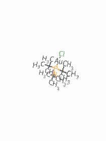 CC(C)(C)[PH]([Au][Cl])(C(C)(C)C)C(C)(C)C